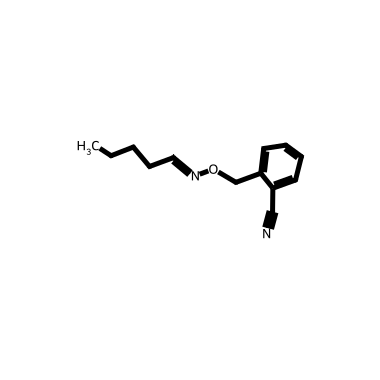 CCCC/[C]=N/OCc1ccccc1C#N